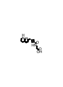 O=C(O)CCNC(=O)[C@H]1C[C@@H](Cc2ccc3c(n2)NCCC3)C1